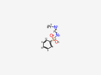 CC(C)N=C=NS(=O)(=O)c1ccccc1